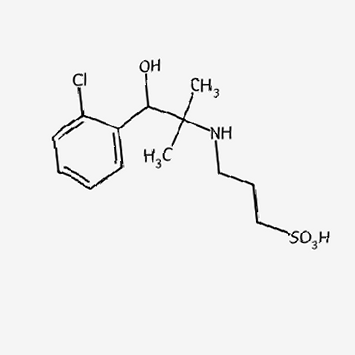 CC(C)(NCCCS(=O)(=O)O)C(O)c1ccccc1Cl